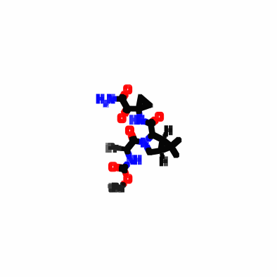 CC(C)[C@H](NC(=O)OC(C)(C)C)C(=O)N1C[C@H]2[C@@H](C1C(=O)NC1(C(=O)C(N)=O)CC1)C2(C)C